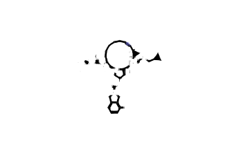 CC(C)(C)OC(=O)N[C@H]1CCCCC/C=C\[C@@H]2C[C@@]2(C(=O)NCC2CC2)NC(=O)[C@@H]2C[C@@H](OC(=O)N3Cc4cccc(Cl)c4C3)CN2C1=O